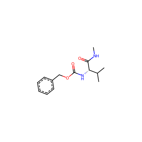 CNC(=O)[C@@H](NC(=O)OCc1ccccc1)C(C)C